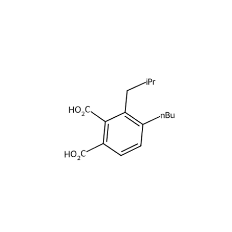 CCCCc1ccc(C(=O)O)c(C(=O)O)c1CC(C)C